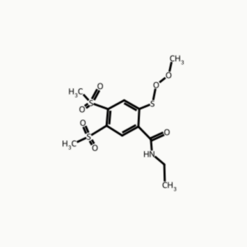 CCNC(=O)c1cc(S(C)(=O)=O)c(S(C)(=O)=O)cc1SOOC